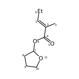 CCC=C(C)C(=O)OC1CCCO1